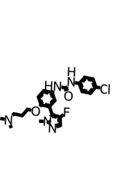 CN(C)CCCOc1ccc(NC(=O)Nc2ccc(Cl)cc2)cc1-c1c(F)cnn1C